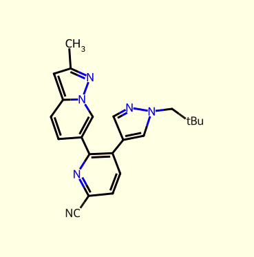 Cc1cc2ccc(-c3nc(C#N)ccc3-c3cnn(CC(C)(C)C)c3)cn2n1